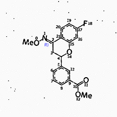 CO/N=C1\CC(c2cccc(C(=O)OC)c2)Oc2cc(F)ccc21